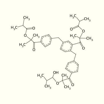 CC(C)C(=O)OC(C)(C)C(=O)c1ccc(Cc2ccc(Cc3ccc(C(=O)C(C)(C)OC(O)C(C)C)cc3)c(C(=O)C(C)(C)OC(=O)C(C)C)c2)cc1